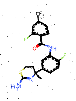 CC1(c2ccc(F)c(NC(=O)c3ccc(C(F)(F)F)cc3F)c2)CCSC(N)=N1